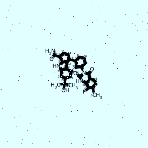 Cc1ccc2c(=O)n(-c3cccc(-c4ccc(C(N)=O)c5[nH]c6cc(C(C)(C)O)ccc6c45)c3C)c(=O)[nH]c2c1F